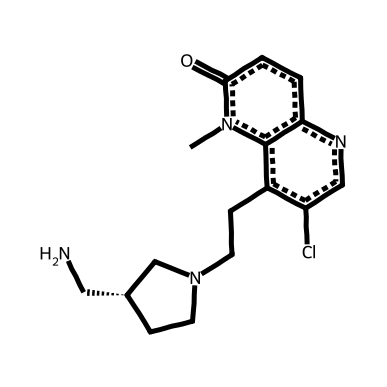 Cn1c(=O)ccc2ncc(Cl)c(CCN3CC[C@H](CN)C3)c21